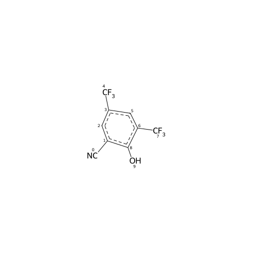 N#Cc1cc(C(F)(F)F)cc(C(F)(F)F)c1O